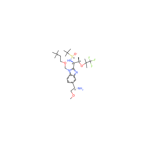 COC[C@@H](N)c1ccc2c(c1)nc([C@@H](N[S@+]([O-])C(C)(C)C)[C@@H](C)OC(C)(C)C(F)(F)F)n2COCC[Si](C)(C)C